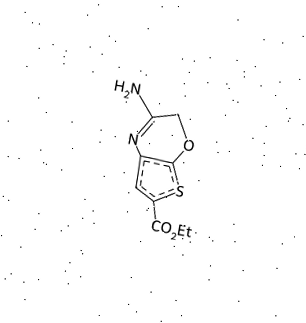 CCOC(=O)c1cc2c(s1)OCC(N)=N2